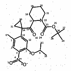 Cc1cc([N+](=O)[O-])c(OC(C)C)cc1C1(C(=O)C2CCCCN2C(=O)OC(C)(C)C)CC1